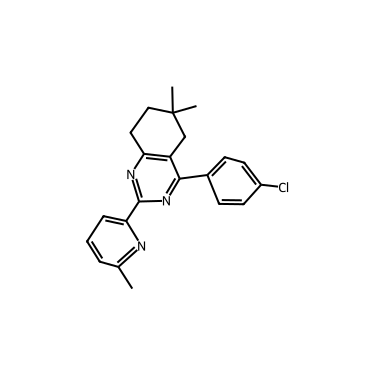 Cc1cccc(-c2nc3c(c(-c4ccc(Cl)cc4)n2)CC(C)(C)CC3)n1